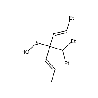 CC=CC(C=CCC)(SO)C(CC)CC